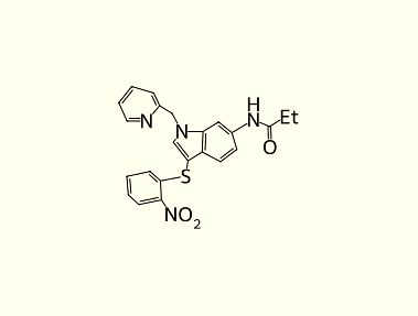 CCC(=O)Nc1ccc2c(Sc3ccccc3[N+](=O)[O-])cn(Cc3ccccn3)c2c1